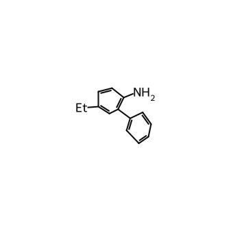 CCc1ccc(N)c(-c2ccccc2)c1